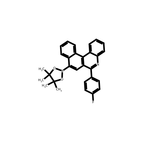 CC1(C)OB(c2cc3c(-c4ccc(F)cc4)nc4ccccc4c3c3ccccc23)OC1(C)C